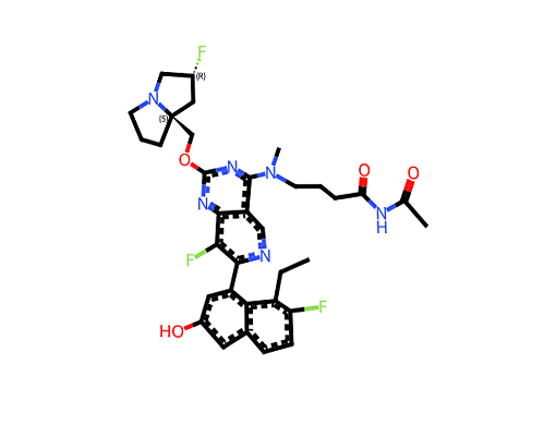 CCc1c(F)ccc2cc(O)cc(-c3ncc4c(N(C)CCCC(=O)NC(C)=O)nc(OC[C@@]56CCCN5C[C@H](F)C6)nc4c3F)c12